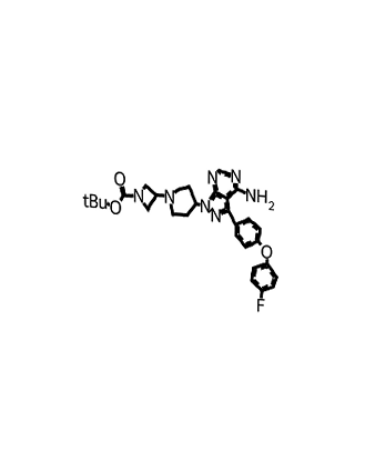 CC(C)(C)OC(=O)N1CC(N2CCC(n3nc(-c4ccc(Oc5ccc(F)cc5)cc4)c4c(N)ncnc43)CC2)C1